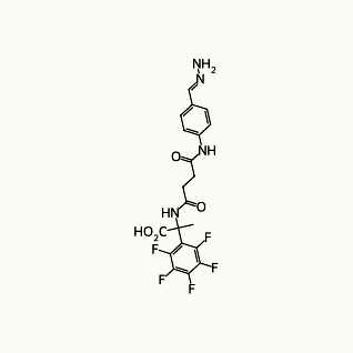 CC(NC(=O)CCC(=O)Nc1ccc(C=NN)cc1)(C(=O)O)c1c(F)c(F)c(F)c(F)c1F